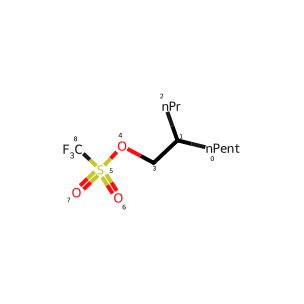 CCCCCC(CCC)COS(=O)(=O)C(F)(F)F